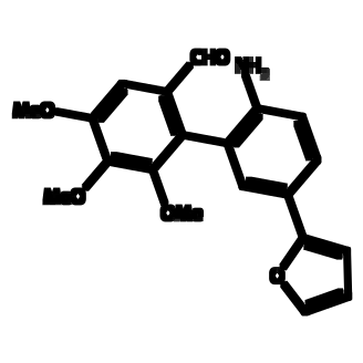 COc1cc(C=O)c(-c2cc(-c3ccco3)ccc2N)c(OC)c1OC